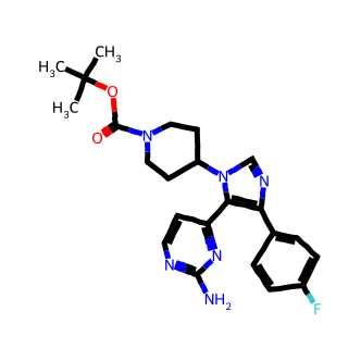 CC(C)(C)OC(=O)N1CCC(n2cnc(-c3ccc(F)cc3)c2-c2ccnc(N)n2)CC1